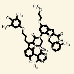 COCCOc1cc(N2C[C@@H](C)n3c(c(CCCOc4cc(C)c(Cl)c(C)c4)c4ccc(Cl)c(-c5c(C)ncnc5C)c43)C2=O)c2c(c1)cc(C(=O)O)n2Cc1cc(C)ccn1